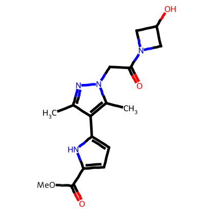 COC(=O)c1ccc(-c2c(C)nn(CC(=O)N3CC(O)C3)c2C)[nH]1